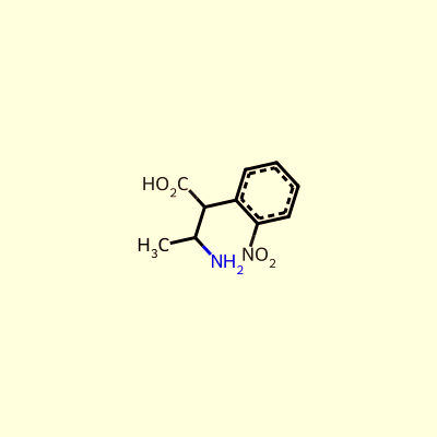 CC(N)C(C(=O)O)c1ccccc1[N+](=O)[O-]